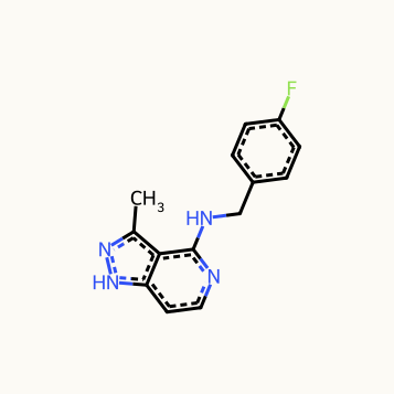 Cc1n[nH]c2ccnc(NCc3ccc(F)cc3)c12